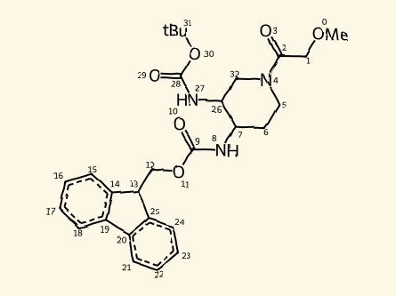 COCC(=O)N1CCC(NC(=O)OCC2c3ccccc3-c3ccccc32)C(NC(=O)OC(C)(C)C)C1